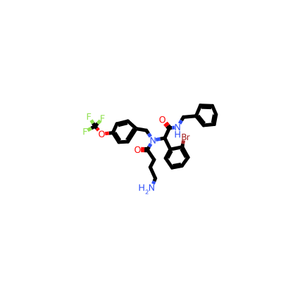 NCCCC(=O)N(Cc1ccc(OC(F)(F)F)cc1)C(C(=O)NCc1ccccc1)c1ccccc1Br